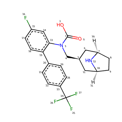 O=C(O)N(C[C@H]1C[C@H]2CC[C@@H](C1)N2)c1cc(F)ccc1-c1ccc(C(F)(F)F)cc1